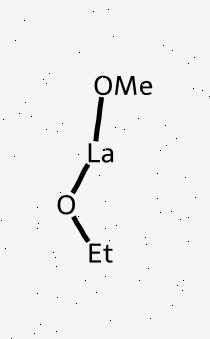 CC[O][La][O]C